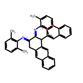 Cc1cc2ccccc2cc1C1C(=N\c2c(C)cccc2C)/C(=N/c2c(C)cccc2C)Cc2cc3ccccc3cc21